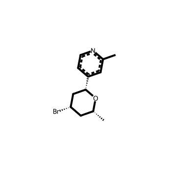 Cc1cc([C@H]2C[C@@H](Br)C[C@@H](C)O2)ccn1